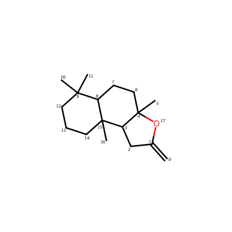 C=C1CC2C(C)(CCC3C(C)(C)CCCC32C)O1